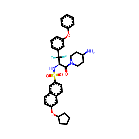 NC1CCN(C(=O)[C@@H](NS(=O)(=O)c2ccc3cc(OC4CCCC4)ccc3c2)C(F)(F)c2cccc(Oc3ccccc3)c2)CC1